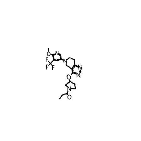 CCC(=O)N1CCC(Oc2ncnc3c2CN(c2cnc(OC)c(C(F)(F)F)c2)CC3)C1